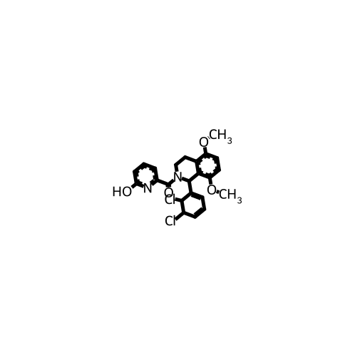 COc1ccc(OC)c2c1CCN(C(=O)c1cccc(O)n1)C2C1=CC=CC(Cl)C1Cl